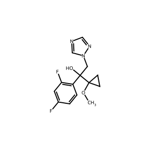 COC1(C(O)(Cn2cncn2)c2ccc(F)cc2F)CC1